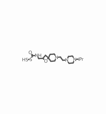 CC(C)N1CCN(CCN2CCC3(CC2)CC(CNC(=O)SS)O3)CC1